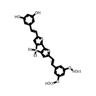 CCCCCCCCOc1cc(/C=C/c2cc3c(s2)-c2sc(/C=C/c4cc(O)cc(O)c4)cc2S3(CC)CC)cc(OCCCCCCCC)c1